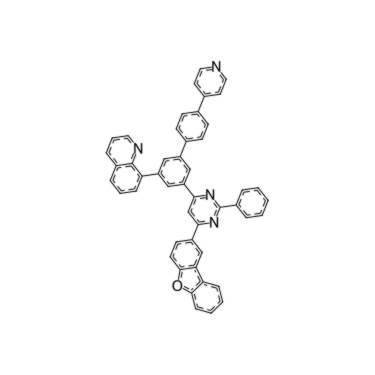 c1ccc(-c2nc(-c3cc(-c4ccc(-c5ccncc5)cc4)cc(-c4cccc5cccnc45)c3)cc(-c3ccc4oc5ccccc5c4c3)n2)cc1